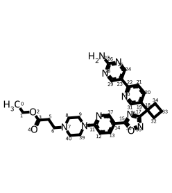 CCOC(=O)CCN1CCN(c2ccc(-c3nc(C4(c5ccc(-c6cnc(N)nc6)nc5)CCC4)no3)cn2)CC1